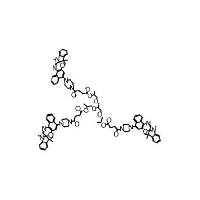 CC(COCC(COCC(C)OC(=O)CCC(=O)N1CCN(c2cc3c(c4ccccc24)N=CC2(O3)N(C)c3ccccc3C2(C)C)CC1)OCC(C)OC(=O)CCC(=O)N1CCN(c2cc3c(c4ccccc24)N=CC2(O3)N(C)c3ccccc3C2(C)C)CC1)OC(=O)CCC(=O)N1CCN(c2cc3c(c4ccccc24)N=CC2(O3)N(C)c3ccccc3C2(C)C)CC1